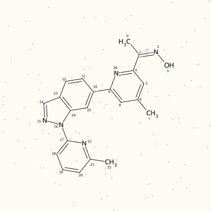 C/C(=N/O)c1cc(C)cc(-c2ccc3cnn(-c4cccc(C)n4)c3c2)n1